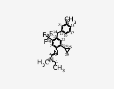 CCN(C)C=Nc1cc(C(F)(F)F)c(Cc2cccc(C)c2)cc1C1CC1